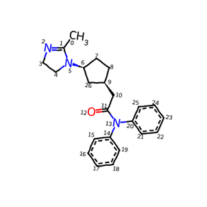 CC1=NCCN1[C@H]1CC[C@@H](CC(=O)N(c2ccccc2)c2ccccc2)C1